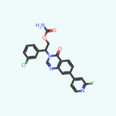 NC(=O)OCC(c1cccc(Cl)c1)n1cnc2cc(-c3ccnc(F)c3)ccc2c1=O